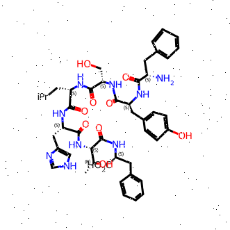 CC(C)C[C@H](NC(=O)[C@H](CO)NC(=O)[C@H](Cc1ccc(O)cc1)NC(=O)[C@@H](N)Cc1ccccc1)C(=O)N[C@@H](Cc1c[nH]cn1)C(=O)N[C@H](C(=O)N[C@@H](Cc1ccccc1)C(=O)O)[C@@H](C)O